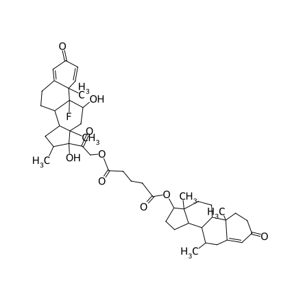 CC1CC2=CC(=O)CCC2(C)C2CCC3(C)C(OC(=O)CCCC(=O)OCC(=O)C4(O)C(C)CC5C6CCC7=CC(=O)C=CC7(C)C6(F)C(O)CC54C)CCC3C12